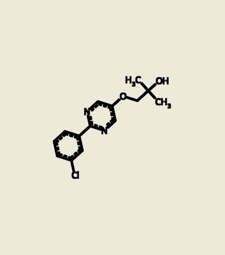 CC(C)(O)COc1cnc(-c2cccc(Cl)c2)nc1